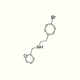 Brc1ccc(CCNCc2ccco2)cc1